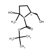 CC(C)(C)OC(=O)N1[C@H](CO)CCC1(C)O